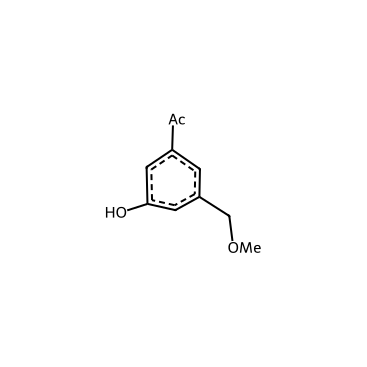 COCc1cc(O)cc(C(C)=O)c1